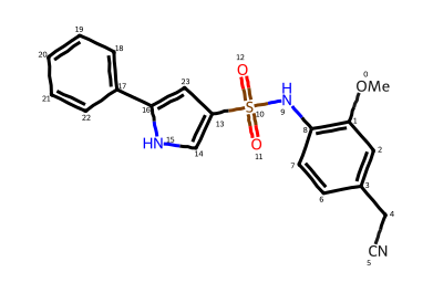 COc1cc(CC#N)ccc1NS(=O)(=O)c1c[nH]c(-c2ccccc2)c1